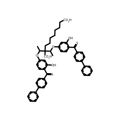 CC(Oc1ccc(C(=S)c2ccc(-c3ccccc3)cc2)c(O)c1)C(CCCCCCCC(=O)O)(C(=O)O)C(C)Oc1ccc(C(=S)c2ccc(-c3ccccc3)cc2)c(O)c1